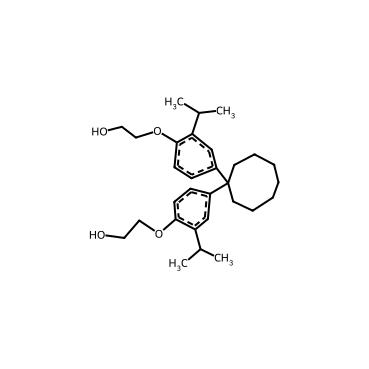 CC(C)c1cc(C2(c3ccc(OCCO)c(C(C)C)c3)CCCCCCC2)ccc1OCCO